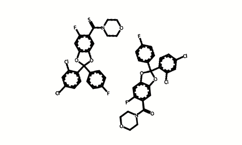 Fc1ccc(C2(c3ccc(Cl)cc3Cl)Oc3cc(F)c(C(=S)N4CCOCC4)cc3O2)cc1.O=C(c1cc2c(cc1F)OC(c1ccc(F)cc1)(c1ccc(Cl)cc1Cl)O2)N1CCOCC1